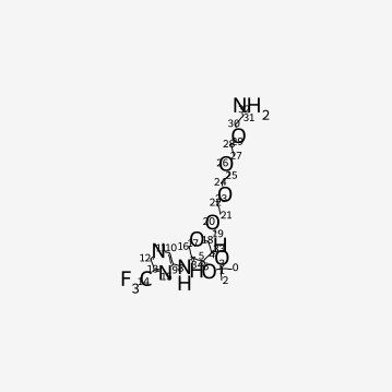 CC1(C)O[C@@H]2[C@H](O1)[C@@H](Nc1cncc(C(F)(F)F)n1)CO[C@@H]2COCCOCCOCCOCCN